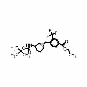 CCOC(=O)c1ccc(CN2CCCC(NC(=O)OC(C)(C)C)C2)c(C(F)(F)F)c1